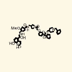 COc1cc(C(=O)NCC2CCN(C(=O)COc3cccc([C@](O)(C(=O)OCC4CCN(Cc5ccccc5)CC4)c4ccccc4)c3)CC2)ccc1CNC[C@H](O)c1ccc(O)c2[nH]c(=O)ccc12